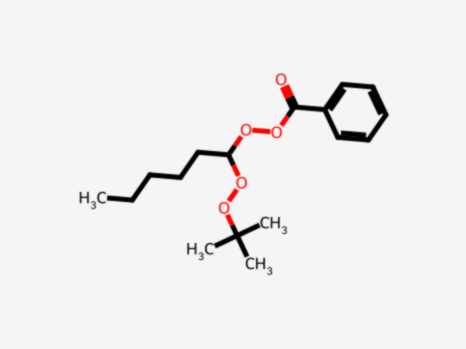 CCCCCC(OOC(=O)c1ccccc1)OOC(C)(C)C